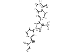 C=CC(=O)Nc1cccc(-n2cc(-c3ccc4c(c3)CCNC4=O)c(N(C)C)n2)c1